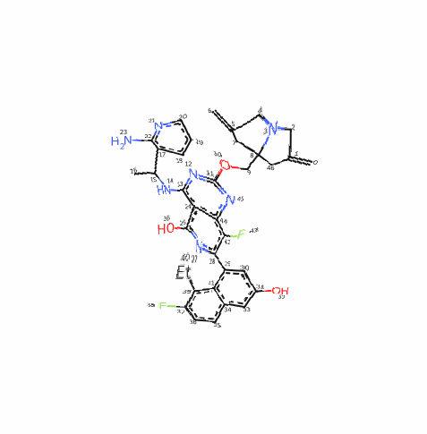 C=C1CN2CC(=C)CC2(COc2nc(NC(C)c3cccnc3N)c3c(O)nc(-c4cc(O)cc5ccc(F)c(CC)c45)c(F)c3n2)C1